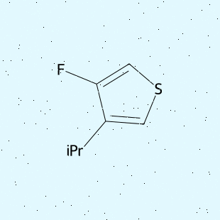 CC(C)c1cscc1F